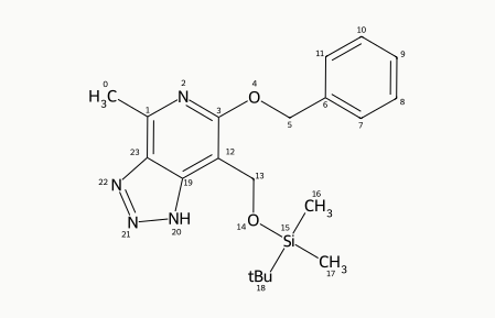 Cc1nc(OCc2ccccc2)c(CO[Si](C)(C)C(C)(C)C)c2[nH]nnc12